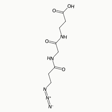 [N-]=[N+]=NCCC(=O)NCC(=O)NCCC(=O)O